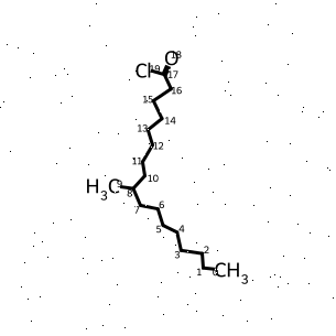 CCCCCCCCC(C)CCCCCCCC(=O)Cl